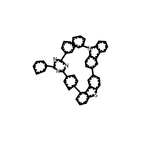 c1ccc(-c2nc(-c3ccccc3)nc(-c3ccc(-c4cccc5sc6ccc(-c7ccc8c(c7)c7ccccc7n8-c7ccccc7)cc6c45)cc3)n2)cc1